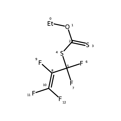 CCOC(=S)SC(F)(F)C(F)=C(F)F